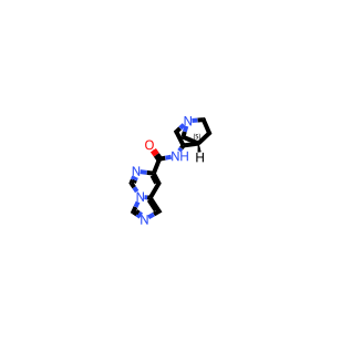 O=C(NC1CN2CC[C@H]1C2)c1cc2cncn2cn1